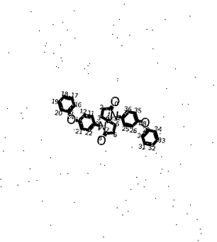 O=C1CCC2(CCC(=O)N2c2ccc(Oc3ccccc3)cc2)N1c1ccc(Oc2ccccc2)cc1